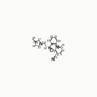 Cc1ccc(C#N)c(O[C@H](CCN2CC[C@@H](C)C2)c2ccccc2)n1